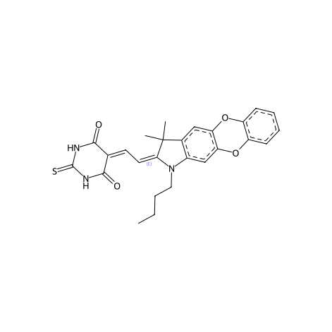 CCCCN1/C(=C/C=C2C(=O)NC(=S)NC2=O)C(C)(C)c2cc3c(cc21)Oc1ccccc1O3